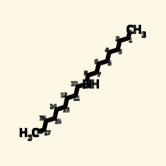 CCCCCCCC[CH2][BiH][CH2]CCCCCCCC